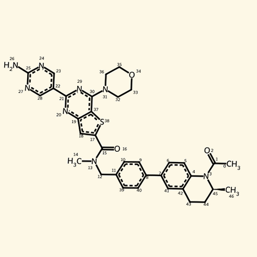 CC(=O)N1c2ccc(-c3ccc(CN(C)C(=O)c4cc5nc(-c6cnc(N)nc6)nc(N6CCOCC6)c5s4)cc3)cc2CC[C@@H]1C